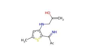 C=C(O)CNc1cc(C)sc1C(=N)C(C)=O